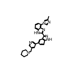 Cc1cn(-c2cccc3[nH]c(-c4n[nH]c5ccc(-c6cncc(CN7CCCCC7)c6)cc45)nc23)cn1